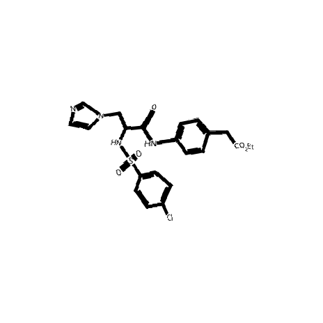 CCOC(=O)Cc1ccc(NC(=O)C(Cn2ccnc2)NS(=O)(=O)c2ccc(Cl)cc2)cc1